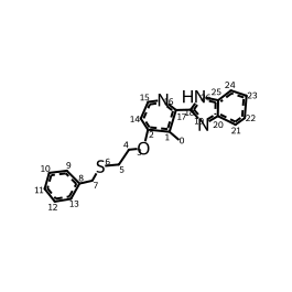 Cc1c(OCCSCc2ccccc2)ccnc1-c1nc2ccccc2[nH]1